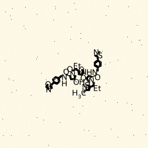 CC[C@@H](CN1C[C@H](Oc2cc([C@@H](CC)C(=O)N3C[C@H](O)C[C@H]3C(=O)NCc3ccc(-c4cnco4)cc3)on2)C[C@H]1C(=O)NCc1ccc(-c2cncs2)cc1)c1cc(C)no1